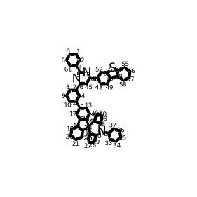 c1ccc(-c2nc(-c3cccc(-c4ccc5c(c4)-c4ccccc4C54c5ccccc5N(c5ccccc5)c5ccccc54)c3)cc(-c3ccc4c(c3)sc3ccccc34)n2)cc1